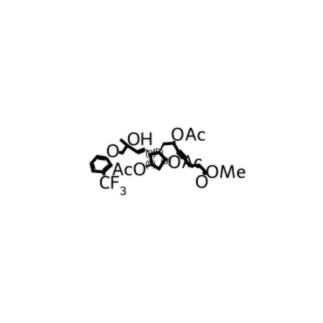 COC(=O)CCC#CC(C[C@@H]1[C@@H](C=CC(C)(O)COc2cccc(C(F)(F)F)c2)[C@H](OC(C)=O)C[C@@H]1OC(C)=O)OC(C)=O